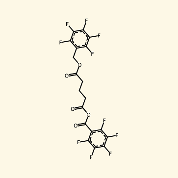 O=C(CCCC(=O)OC(=O)c1c(F)c(F)c(F)c(F)c1F)OCc1c(F)c(F)c(F)c(F)c1F